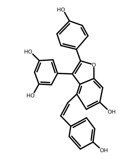 Oc1ccc(/C=C\c2cc(O)cc3oc(-c4ccc(O)cc4)c(-c4cc(O)cc(O)c4)c23)cc1